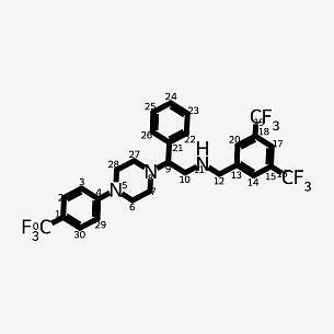 FC(F)(F)c1ccc(N2CCN(C(CNCc3cc(C(F)(F)F)cc(C(F)(F)F)c3)c3ccccc3)CC2)cc1